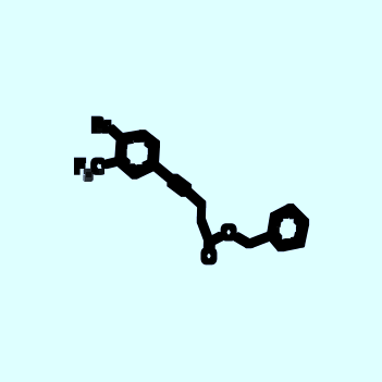 O=C(CCC#Cc1ccc(Br)c(C(F)(F)F)c1)OCc1ccccc1